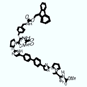 COC(=O)N[C@@H](C(C)C)C(C)N1CCC[C@H]1C1=NCC(c2ccc(-c3ccc(-c4cnc([C@@H]5CCCN5C(=O)[C@H](Cc5ccc(CNC(=O)OCC6c7ccccc7-c7ccccc76)cc5)NC(=O)OC)[nH]4)cc3)cc2)=N1